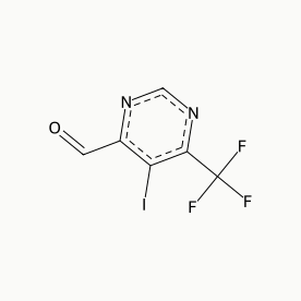 O=Cc1ncnc(C(F)(F)F)c1I